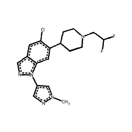 Cn1cc(-n2ncc3cc(Cl)c(C4CCN(CC(F)F)CC4)cc32)cn1